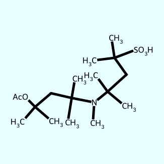 CC(=O)OC(C)(C)CC(C)(C)N(C)C(C)(C)CC(C)(C)S(=O)(=O)O